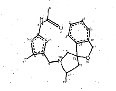 CC(=O)Nc1nc(F)c(CN2CC3(CC2C)OCc2ccccc23)s1